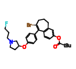 CC(C)(C)C(=O)Oc1ccc2c(c1)CCCC(Br)=C2c1ccc(OC2CCN(CCCF)C2)cc1